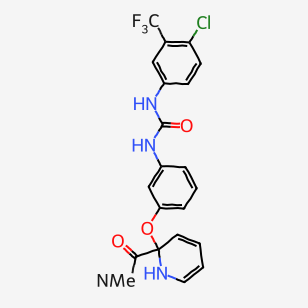 CNC(=O)C1(Oc2cccc(NC(=O)Nc3ccc(Cl)c(C(F)(F)F)c3)c2)C=CC=CN1